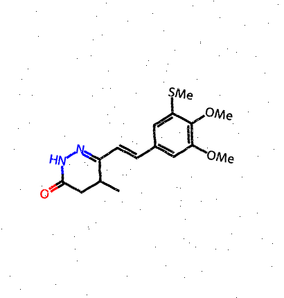 COc1cc(C=CC2=NNC(=O)CC2C)cc(SC)c1OC